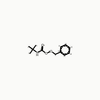 CC(C)(C)NC(=O)OOCc1ccccc1